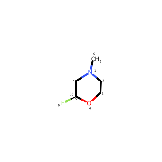 CN1CCO[C@@H](F)C1